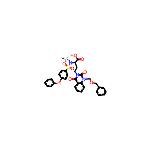 CN(C(CCn1c(=O)c2ccccc2n(COCc2ccccc2)c1=O)C(=O)O)S(=O)(=O)c1ccc(Oc2ccccc2)cc1